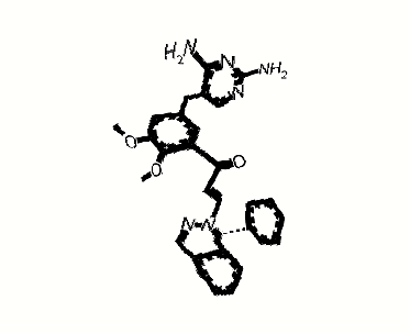 COc1cc(Cc2cnc(N)nc2N)cc(C(=O)/C=C/N2N=Cc3ccccc3[C@H]2c2ccccc2)c1OC